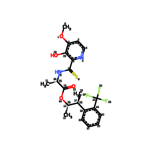 COc1ccnc(C(=S)N[C@@H](C)C(=O)O[C@@H](C)[C@@H](C)c2ccccc2C(F)(F)F)c1O